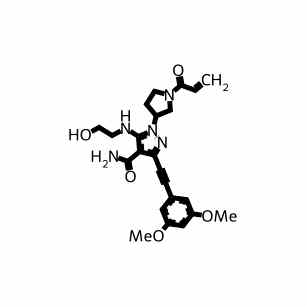 C=CC(=O)N1CCC(n2nc(C#Cc3cc(OC)cc(OC)c3)c(C(N)=O)c2NCCO)C1